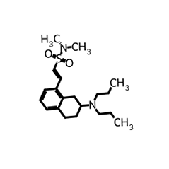 CCCN(CCC)C1CCc2cccc(C=CS(=O)(=O)N(C)C)c2C1